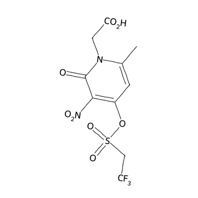 Cc1cc(OS(=O)(=O)CC(F)(F)F)c([N+](=O)[O-])c(=O)n1CC(=O)O